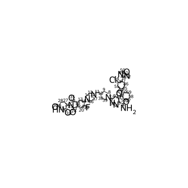 NC(=O)c1nnc(N2CCC(CN3CCN(c4cc5c(cc4F)C(=O)N([C@@H]4CCC(=O)NC4=O)C5=O)CC3)CC2)cc1C1(Oc2ccc(-c3ncon3)c(Cl)c2)CCCCC1